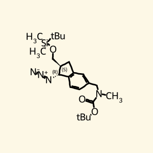 CN(Cc1ccc2c(c1)C[C@H](CO[Si](C)(C)C(C)(C)C)[C@H]2N=[N+]=[N-])C(=O)OC(C)(C)C